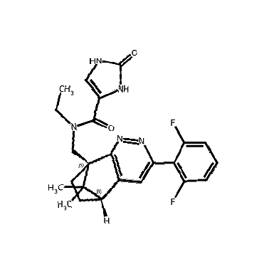 CCN(C[C@@]12CC[C@@H](c3cc(-c4c(F)cccc4F)nnc31)C2(C)C)C(=O)c1c[nH]c(=O)[nH]1